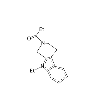 CCC(=O)N1CCc2c(n(CC)c3ccccc23)C1